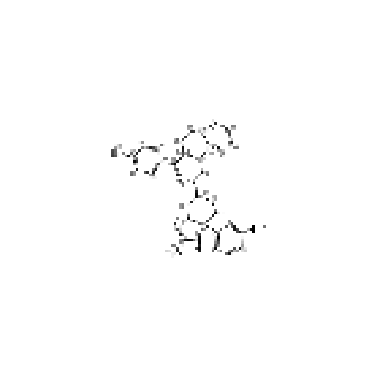 CC(=O)NC1(c2cccc(F)c2)CCN(CCC2c3ccccc3CCN2C(=O)c2ccc(Br)cc2)CC1